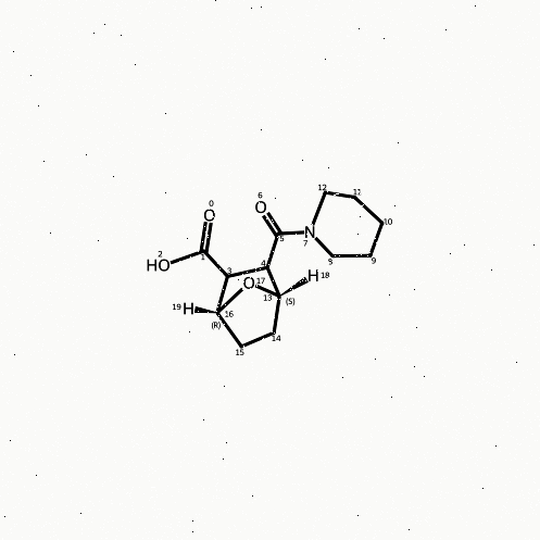 O=C(O)C1C(C(=O)N2CCCCC2)[C@@H]2CC[C@H]1O2